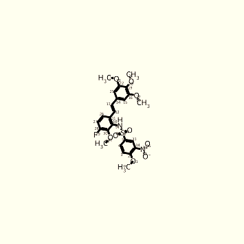 COc1ccc(S(=O)(=O)Nc2c(C=Cc3cc(OC)c(OC)c(OC)c3)ccc(F)c2OC)cc1[N+](=O)[O-]